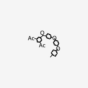 CC(=O)c1cc(C(C)=O)cc(C(=O)c2ccc(Oc3ccc(Oc4ccc(C)cc4)cc3)cc2)c1